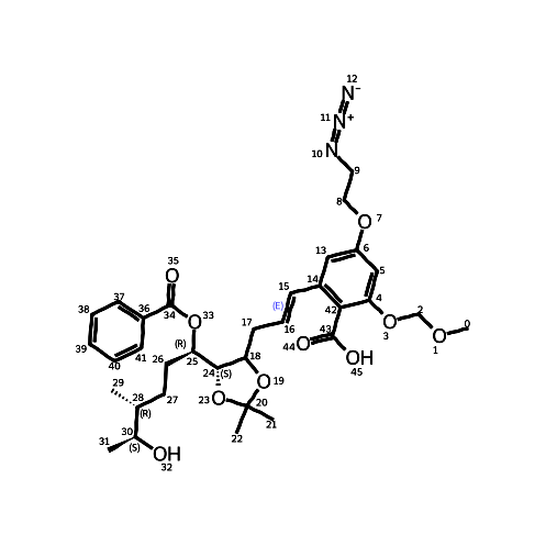 COCOc1cc(OCCN=[N+]=[N-])cc(/C=C/CC2OC(C)(C)O[C@@H]2[C@@H](CC[C@@H](C)[C@H](C)O)OC(=O)c2ccccc2)c1C(=O)O